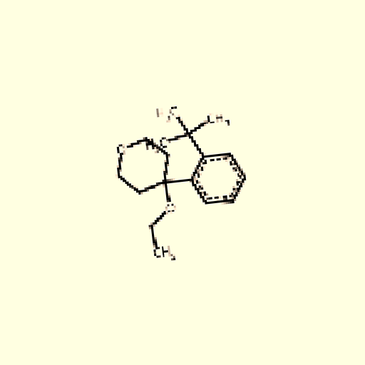 CCOC1(c2ccccc2C(C)(C)C)CCOCC1